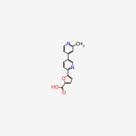 Cc1cc(-c2ccc(-c3ccc(C(=O)O)o3)nc2)ccn1